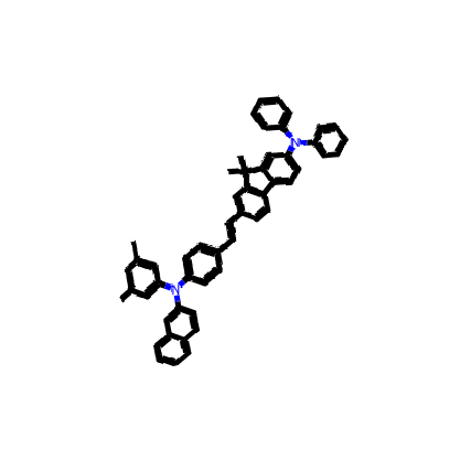 Cc1cc(C)cc(N(c2ccc(/C=C/c3ccc4c(c3)C(C)(C)c3cc(N(c5ccccc5)c5ccccc5)ccc3-4)cc2)c2ccc3ccccc3c2)c1